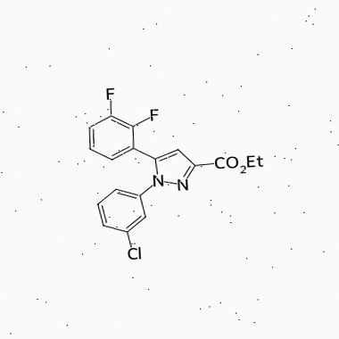 CCOC(=O)c1cc(-c2cccc(F)c2F)n(-c2cccc(Cl)c2)n1